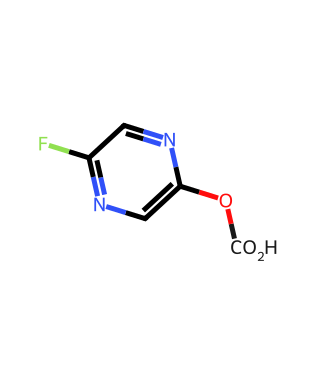 O=C(O)Oc1cnc(F)cn1